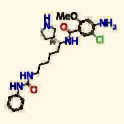 COc1cc(N)c(Cl)cc1C(=O)NC(CCCCCNC(=O)Nc1ccccc1)[C@@H]1CCNC1